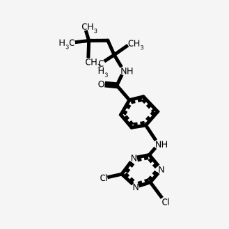 CC(C)(C)CC(C)(C)NC(=O)c1ccc(Nc2nc(Cl)nc(Cl)n2)cc1